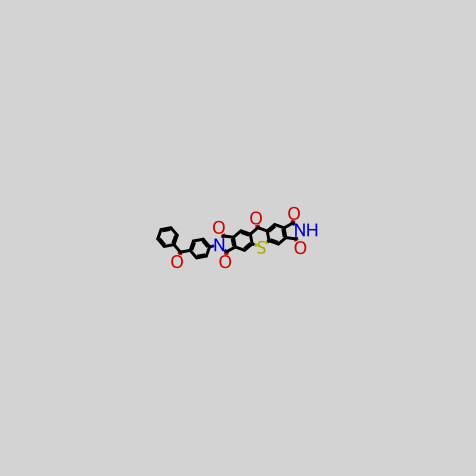 O=C(c1ccccc1)c1ccc(-n2c(=O)c3cc4sc5cc6c(=O)[nH]c(=O)c6cc5c(=O)c4cc3c2=O)cc1